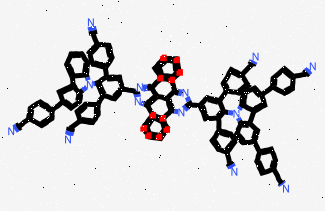 N#Cc1ccc(-c2ccc3c(c2)c2ccccc2n3-c2c(-c3ccc(C#N)cc3)cc(-c3nc(-c4ccccc4)c(-c4c(-c5ccccc5)nc(-c5cc(-c6ccc(C#N)cc6)c(-n6c7ccc(-c8ccc(C#N)cc8)cc7c7cc(-c8ccc(C#N)cc8)ccc76)c(-c6ccc(C#N)cc6)c5)nc4-c4ccccc4)c(-c4ccccc4)n3)cc2-c2ccc(C#N)cc2)cc1